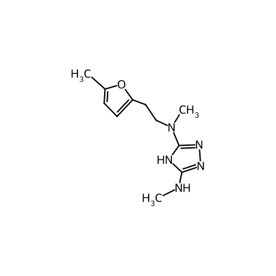 CNc1nnc(N(C)CCc2ccc(C)o2)[nH]1